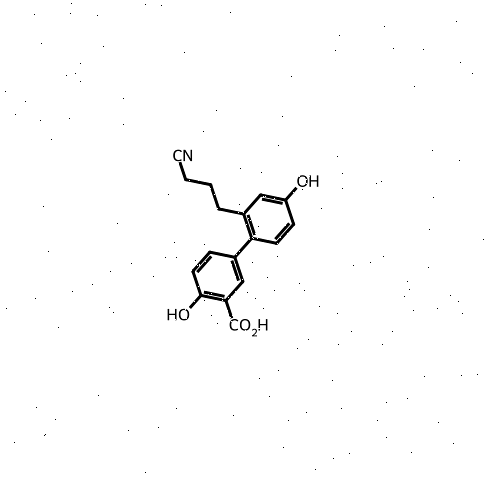 N#CCCCc1cc(O)ccc1-c1ccc(O)c(C(=O)O)c1